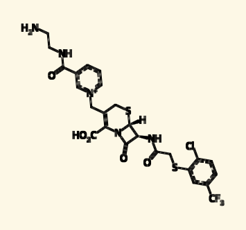 NCCNC(=O)c1ccc[n+](CC2=C(C(=O)O)N3C(=O)[C@H](NC(=O)CSc4cc(C(F)(F)F)ccc4Cl)[C@H]3SC2)c1